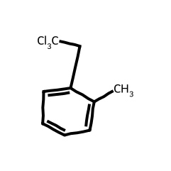 Cc1ccccc1CC(Cl)(Cl)Cl